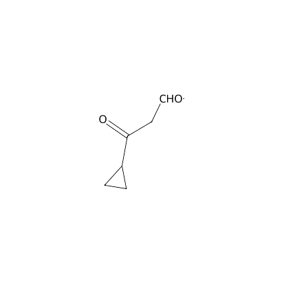 O=[C]CC(=O)C1CC1